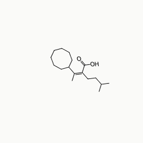 CC(=C(CCC(C)C)C(=O)O)C1CCCCCCC1